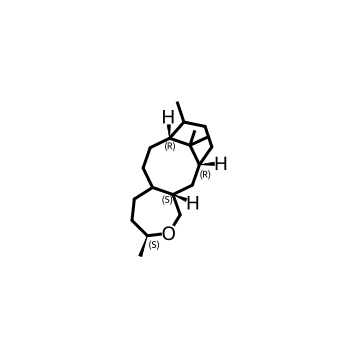 CC1CC[C@@H]2C[C@@H]3CO[C@@H](C)CCC3CC[C@H]1C2(C)C